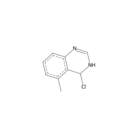 Cc1cccc2c1C(Cl)NC=N2